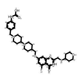 O=C(O)Nc1ccc(CN2CCC(N3CCC(COc4cc(F)c5c(=O)[nH]c(CSC6CCOCC6)nc5c4)CC3)CC2)cc1